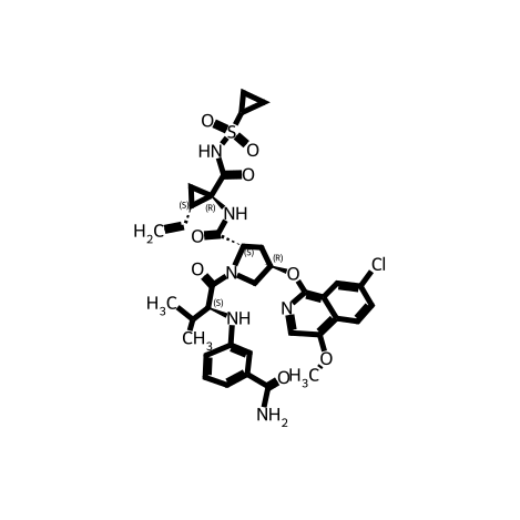 C=C[C@@H]1C[C@]1(NC(=O)[C@@H]1C[C@@H](Oc2ncc(OC)c3ccc(Cl)cc23)CN1C(=O)[C@@H](Nc1cccc(C(N)=O)c1)C(C)C)C(=O)NS(=O)(=O)C1CC1